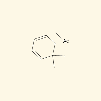 CC(C)=O.CC1(C)C=CC=CC1